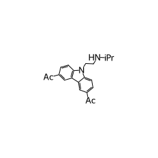 CC(=O)c1ccc2c(c1)c1cc(C(C)=O)ccc1n2CCNC(C)C